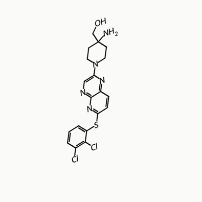 NC1(CO)CCN(c2cnc3nc(Sc4cccc(Cl)c4Cl)ccc3n2)CC1